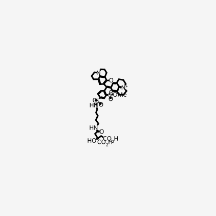 COS(=O)(=O)c1cc(S(=O)(=O)NCCCCCNC(=O)CC(O)(CC(=O)O)C(=O)O)ccc1C1=c2cc3c4c(c2Oc2c1cc1c5c2CCCN5CCC1)CCC[N+]=4CCC3